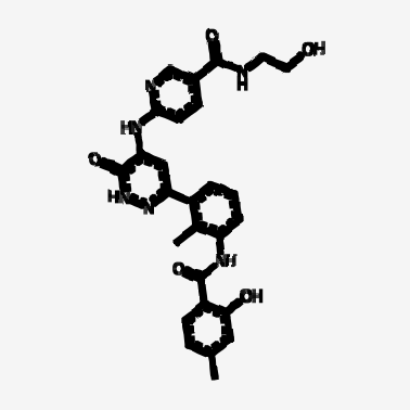 Cc1ccc(C(=O)Nc2cccc(-c3cc(Nc4ccc(C(=O)NCCO)cn4)c(=O)[nH]n3)c2C)c(O)c1